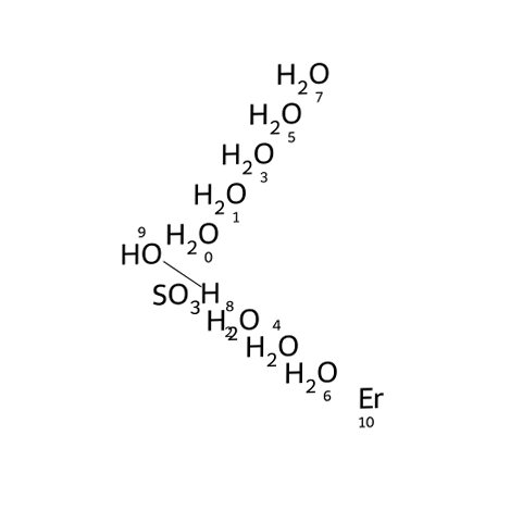 O.O.O.O.O.O.O.O.O=S(=O)(O)O.[Er]